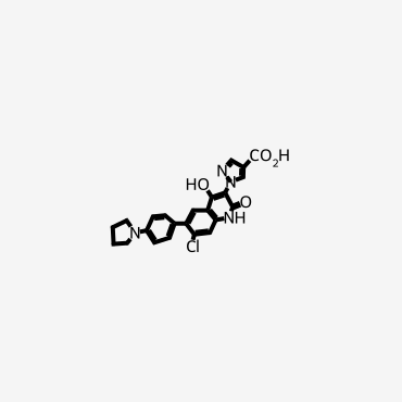 O=C(O)c1cnn(-c2c(O)c3cc(-c4ccc(N5CCCC5)cc4)c(Cl)cc3[nH]c2=O)c1